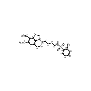 COc1cc2c3c(c1OC)CCC3N(CCCCNS(=O)(=O)c1ccccc1Cl)CC2